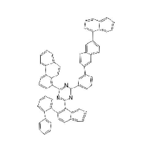 c1ccc(-c2ccccc2-c2ccc3ccccc3c2-c2nc(-c3cccc(-c4ccc5cc(-c6cccc7ccccc67)ccc5c4)c3)nc(-c3cccc4c3ccc3ccccc34)n2)cc1